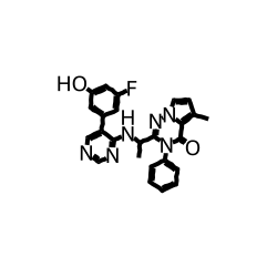 Cc1ccn2nc(C(C)Nc3ncncc3-c3cc(O)cc(F)c3)n(-c3ccccc3)c(=O)c12